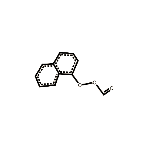 O=[C]OOc1cccc2ccccc12